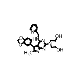 Cc1sc2nc(N(CCO)CCO)nc(NCc3ccccn3)c2c1-c1ccc2c(c1)OCO2